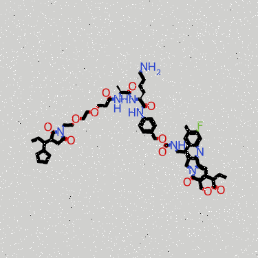 CCC1C(=O)OCc2c1cc1n(c2=O)Cc2c-1nc1cc(F)c(C)cc1c2CNC(=O)OCc1ccc(NC(=O)[C@H](CCCCN)NC(=O)[C@H](C)NC(=O)CCOCCOCCN2C(=O)CC(C(CC)C3CCCC3)C2=O)cc1